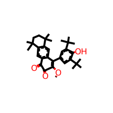 COC1=C(c2cc(C(C)(C)C)c(O)c(C(C)(C)C)c2)c2cc3c(cc2C(=O)C1=O)C(C)(C)CCC3(C)C